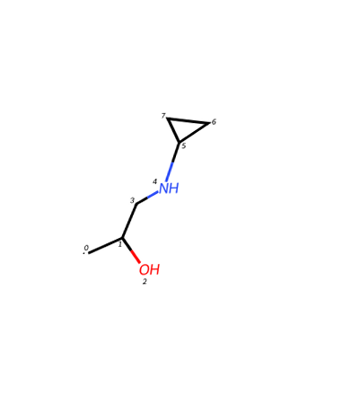 [CH2]C(O)CNC1CC1